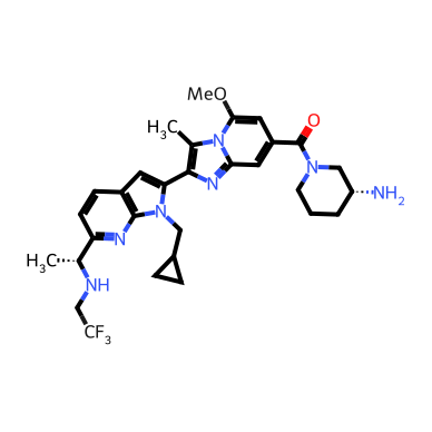 COc1cc(C(=O)N2CCC[C@@H](N)C2)cc2nc(-c3cc4ccc([C@@H](C)NCC(F)(F)F)nc4n3CC3CC3)c(C)n12